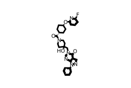 O=c1c2cnn(-c3ccccc3)c2ncn1CC1(O)CCN(C(=O)[C@H]2CC[C@H](Oc3cccc(F)n3)CC2)CC1